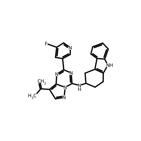 C=C(C)c1cnn2c(NC3CCc4[nH]c5ccccc5c4C3)nc(-c3cncc(F)c3)nc12